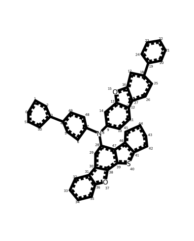 c1ccc(-c2ccc(N(c3ccc4c(c3)oc3cc(-c5ccccc5)ccc34)c3cc4c5ccccc5oc4c4sc5ccccc5c34)cc2)cc1